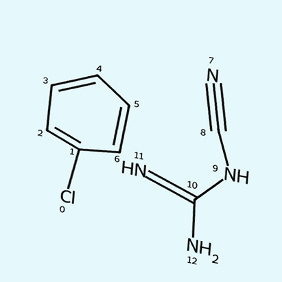 Clc1ccccc1.N#CNC(=N)N